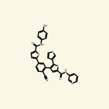 N#Cc1ccc(-c2ccc(C(=O)Nc3ccc(O)cc3)s2)cc1-c1cc(C(=O)Nc2cccnc2)sc1-c1ccsc1